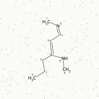 CCC/C(=C/C=N\C)NC